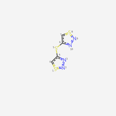 c1snnc1Sc1csnn1